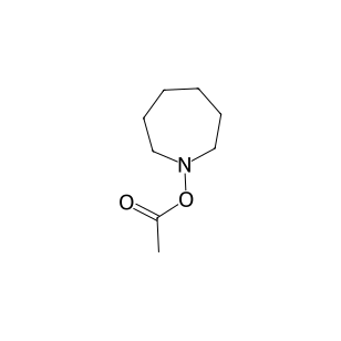 CC(=O)ON1CCCCCC1